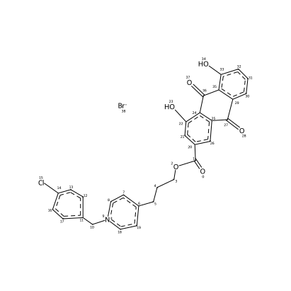 O=C(OCCCc1cc[n+](Cc2ccc(Cl)cc2)cc1)c1cc(O)c2c(c1)C(=O)c1cccc(O)c1C2=O.[Br-]